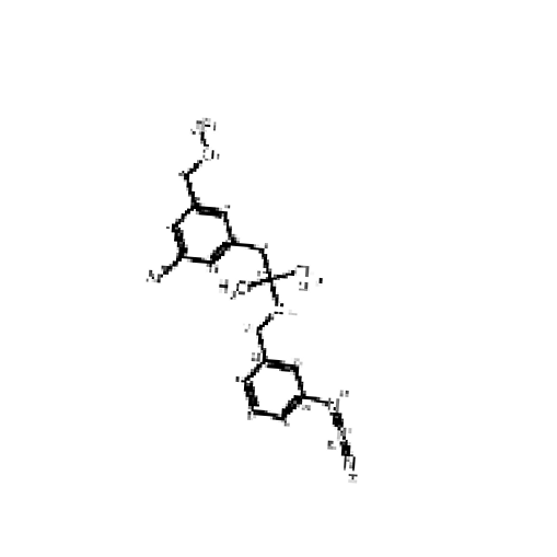 CC(=O)c1cc(COC(C)(C)C)cc(CC(C)(C)OCc2cccc(N=[N+]=[N-])c2)c1